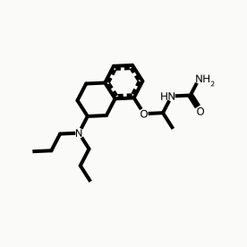 CCCN(CCC)C1CCc2cccc(OC(C)NC(N)=O)c2C1